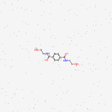 O=C(NCCO)c1ccc(C(=O)NCCO)cc1